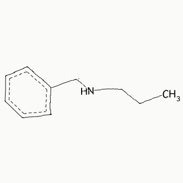 CCCN[CH]c1ccccc1